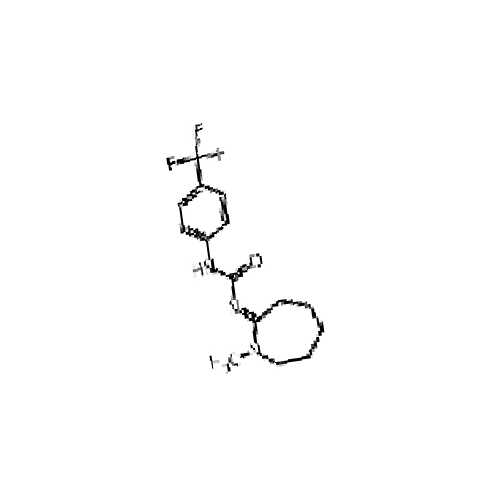 CN1CCCCCC1=NC(=O)Nc1ccc(C(F)(F)F)cc1